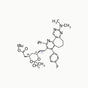 CC(C)c1nc2c(c(-c3ccc(F)cc3)c1/C=C/[C@@H]1C[C@H](CC(=O)OC(C)(C)C)OC(C)(C)O1)CCCc1nc(N(C)C)ncc1-2